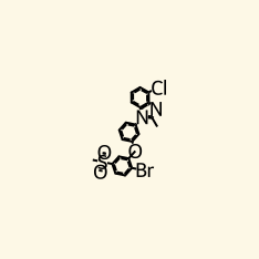 Cc1nc2c(Cl)cccc2n1-c1cccc(Oc2cc(S(C)(=O)=O)ccc2Br)c1